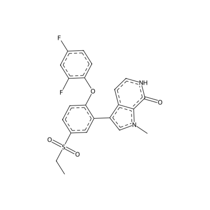 CCS(=O)(=O)c1ccc(Oc2ccc(F)cc2F)c(-c2cn(C)c3c(=O)[nH]ccc23)c1